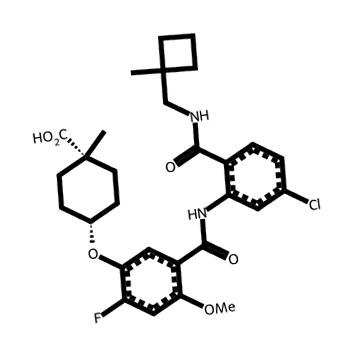 COc1cc(F)c(O[C@H]2CC[C@@](C)(C(=O)O)CC2)cc1C(=O)Nc1cc(Cl)ccc1C(=O)NCC1(C)CCC1